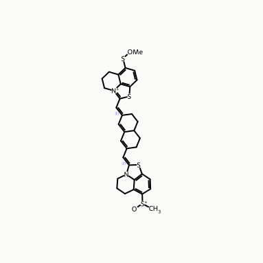 COSc1ccc2sc(/C=C3/C=C4C=C(/C=C5\Sc6ccc([S+](C)[O-])c7c6N5CCC7)CCC4CC3)[n+]3c2c1CCC3